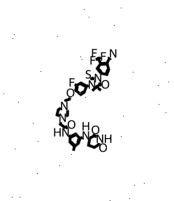 Cc1cc(NC(=O)CN2CCN(CCOc3ccc(N4C(=S)N(c5ccc(C#N)c(C(F)(F)F)c5)C(=O)C4(C)C)cc3F)CC2)cc(NC2CCC(=O)NC2=O)c1